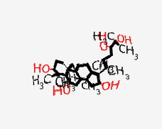 C[C@H](CC[C@H](O)C(C)(C)O)[C@H]1[C@@H](O)C[C@@]2(C)[C@@H]3C[C@H](O)[C@H]4C(C)(C)[C@@H](O)CC[C@@]45C[C@@]35CC[C@]12C